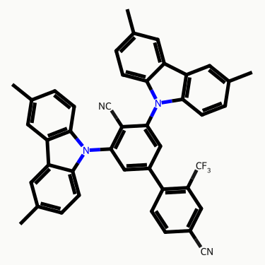 Cc1ccc2c(c1)c1cc(C)ccc1n2-c1cc(-c2ccc(C#N)cc2C(F)(F)F)cc(-n2c3ccc(C)cc3c3cc(C)ccc32)c1C#N